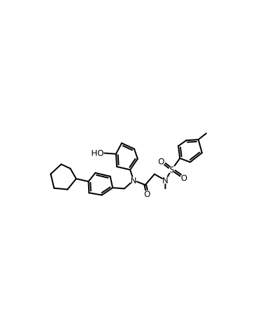 Cc1ccc(S(=O)(=O)N(C)CC(=O)N(Cc2ccc(C3CCCCC3)cc2)c2cccc(O)c2)cc1